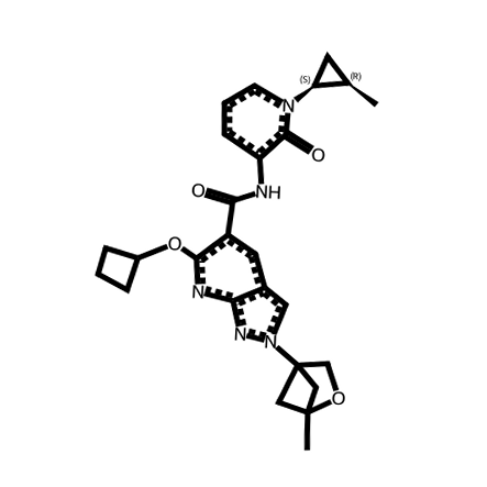 C[C@@H]1C[C@@H]1n1cccc(NC(=O)c2cc3cn(C45COC(C)(C4)C5)nc3nc2OC2CCC2)c1=O